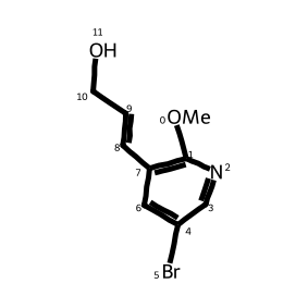 COc1ncc(Br)cc1/C=C/CO